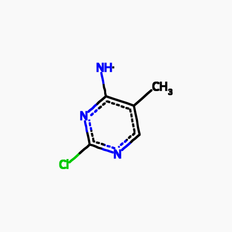 Cc1cnc(Cl)nc1[NH]